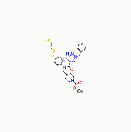 CC(C)(C)OC(=O)N1CCC(CN(C(=O)/C(N)=N/N(N)Cc2ccccc2)c2ccc(SSCCS)cc2)CC1